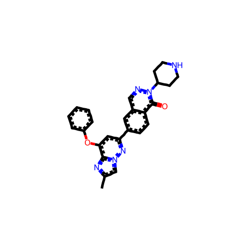 Cc1cn2nc(-c3ccc4c(=O)n(C5CCNCC5)ncc4c3)cc(Oc3ccccc3)c2n1